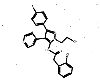 O=C(Cc1ccccc1Cl)Nc1c(-c2ccncc2)c(-c2ccc(F)cc2)nn1CCO